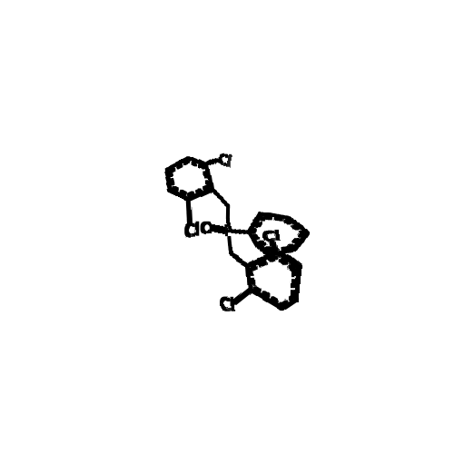 O=P(Cc1c(Cl)cccc1Cl)(Cc1c(Cl)cccc1Cl)c1ccccc1